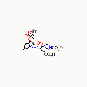 CCOC(=O)N1CCN(C(=O)C(CCC(=O)O)NC(=O)c2cc(OC3(C(=O)OC(C)C)CCC3)c3ccc(C)cc3n2)CC1